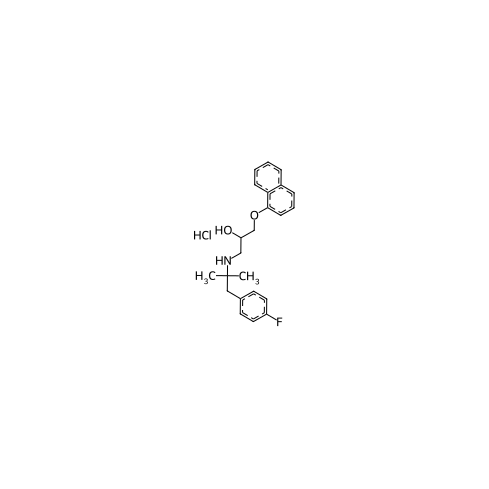 CC(C)(Cc1ccc(F)cc1)NCC(O)COc1cccc2ccccc12.Cl